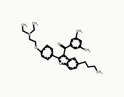 CCCCc1ccc2oc(-c3ccc(OCCN(CC)CC)cc3)c(C(=O)c3cc(C)cc(C)c3)c2c1